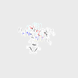 CN[C@H](CC(=O)O)[C@H](Cc1ccccc1)NC(=O)OC(C)(C)C